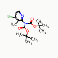 Cc1c(Br)ccnc1N(C(=O)OC(C)(C)C)C(=O)OC(C)(C)C